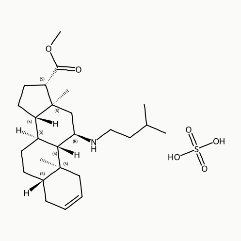 COC(=O)[C@H]1CC[C@H]2[C@@H]3CC[C@H]4CC=CC[C@]4(C)[C@H]3[C@H](NCCC(C)C)C[C@]12C.O=S(=O)(O)O